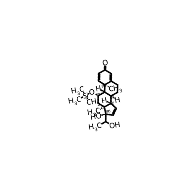 CC(O)[C@@]1(O)C=C[C@H]2[C@@H]3CCC4=CC(=O)C=C[C@]4(C)[C@H]3[C@@H](O[Si](C)(C)C)C[C@@]21C